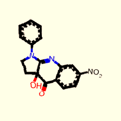 O=C1c2ccc([N+](=O)[O-])cc2N=C2N(c3ccccc3)CCC12O